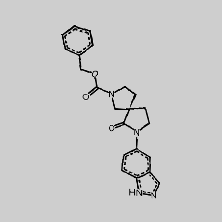 O=C(OCc1ccccc1)N1CC[C@]2(CCN(c3ccc4[nH]ncc4c3)C2=O)C1